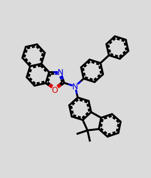 CC1(C)c2ccccc2-c2cc(N(c3ccc(-c4ccccc4)cc3)c3nc4c(ccc5ccccc54)o3)ccc21